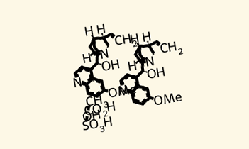 C=C[C@H]1C[N@]2CC[C@H]1C[C@H]2[C@H](O)c1ccnc2ccc(OC)cc12.C=C[C@H]1C[N@]2CC[C@H]1C[C@H]2[C@H](O)c1ccnc2ccc(OC)cc12.CC(=O)O.O=S(=O)(O)O